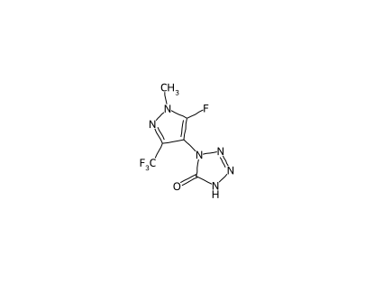 Cn1nc(C(F)(F)F)c(-n2nn[nH]c2=O)c1F